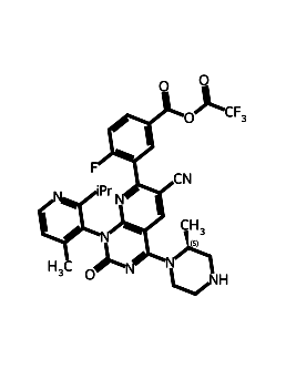 Cc1ccnc(C(C)C)c1-n1c(=O)nc(N2CCNC[C@@H]2C)c2cc(C#N)c(-c3cc(C(=O)OC(=O)C(F)(F)F)ccc3F)nc21